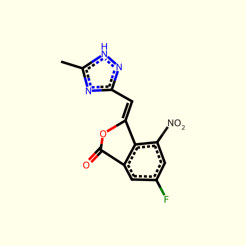 Cc1nc(/C=C2\OC(=O)c3cc(F)cc([N+](=O)[O-])c32)n[nH]1